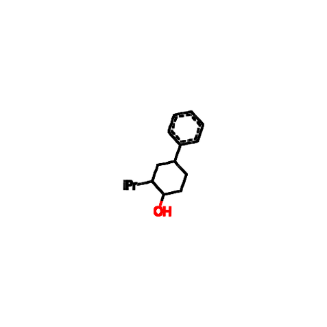 CC(C)C1CC(c2ccccc2)CCC1O